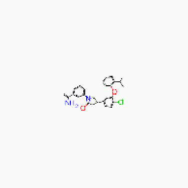 C=C(N)c1cccc(N2C[C@@H](c3ccc(Cl)c(Oc4ccccc4C(C)C)c3)CC2=O)c1